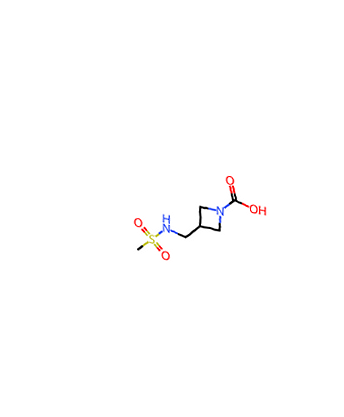 CS(=O)(=O)NCC1CN(C(=O)O)C1